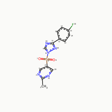 Cc1ncc(S(=O)(=O)n2cnc(-c3ccc(F)cc3)n2)cn1